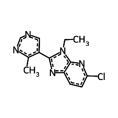 CCn1c(-c2cncnc2C)nc2ccc(Cl)nc21